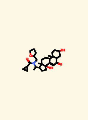 CC(C1CC[C@@]2(O)C3=CC(=O)C4CC(O)CCC4(C)C3CCC12C)N(CC1CCCO1)C(=O)C1CC1